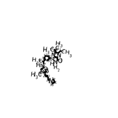 CCc1nc(C(N)=O)c(Nc2cccc(C(C)CNC(=O)CN(C)C(=O)/C=C/CN3CCC3)c2)nc1C(C)C